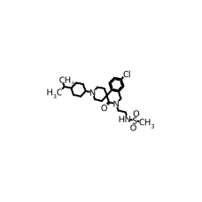 CC(C)C1CCC(N2CCC3(CC2)C(=O)N(CCNS(C)(=O)=O)Cc2cc(Cl)ccc23)CC1